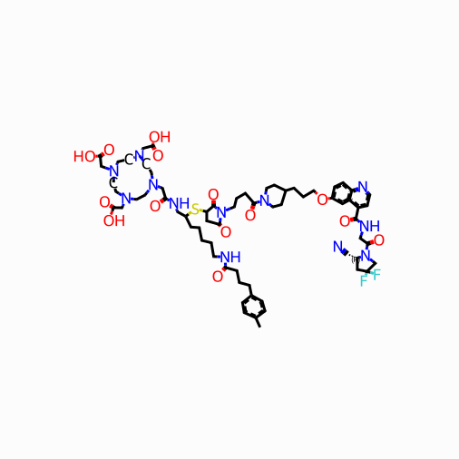 Cc1ccc(CCCC(=O)NCCCCCC(CNC(=O)CN2CCN(CC(=O)O)CCN(CC(=O)O)CCN(CC(=O)O)CC2)SC2CC(=O)N(CCCC(=O)N3CCC(CCCOc4ccc5nccc(C(=O)NCC(=O)N6CC(F)(F)C[C@@H]6C#N)c5c4)CC3)C2=O)cc1